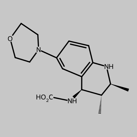 C[C@H]1[C@H](C)Nc2ccc(N3CCOCC3)cc2[C@@H]1NC(=O)O